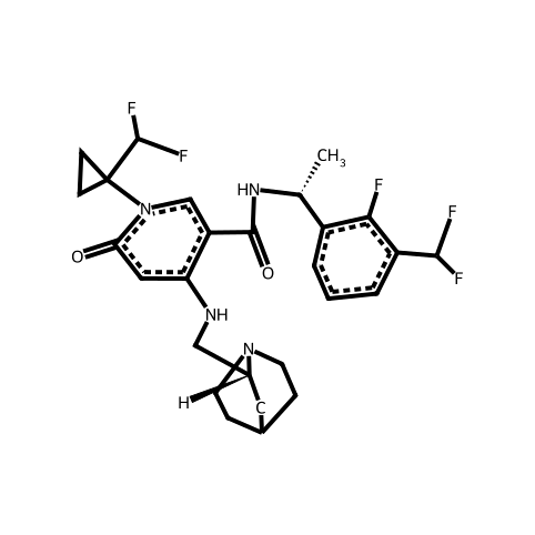 C[C@@H](NC(=O)c1cn(C2(C(F)F)CC2)c(=O)cc1NC[C@H]1CC2CCN1CC2)c1cccc(C(F)F)c1F